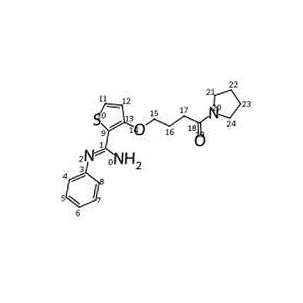 NC(=Nc1ccccc1)c1sccc1OCCCC(=O)N1CCCC1